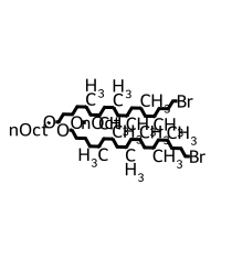 CCCCCCCCOC(CCCC(C)CC(C)CC(C)CC(C)CC(C)CC(C)CCCBr)OC(CCCC(C)CC(C)CC(C)CC(C)CC(C)CC(C)CCCBr)OCCCCCCCC